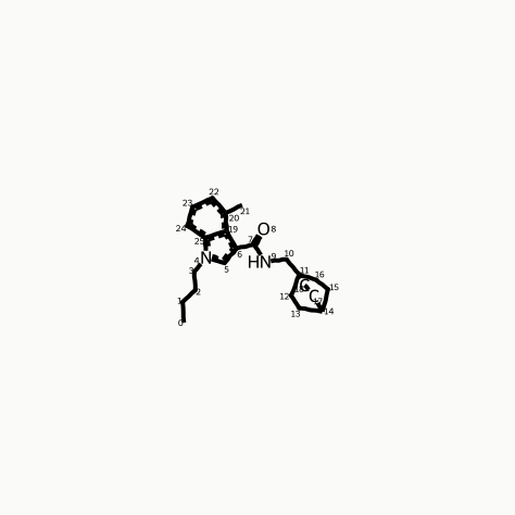 CCCCn1cc(C(=O)NCC23CCC(CC2)CC3)c2c(C)cccc21